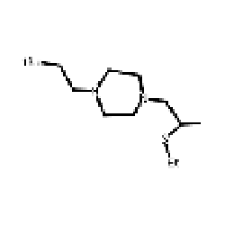 CCSC(C)CN1CCN(CCC(C)(C)C)CC1